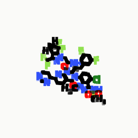 Cn1nc(NS(C)(=O)=O)c2c(Cl)ccc(-n3c([C@H](Cc4cc(F)cc(F)c4)NC(=O)Cn4nc(C(F)F)c5c4C(F)(F)[C@@H]4C[C@H]54)nc4nc(-c5ccncn5)ccc4c3=O)c21